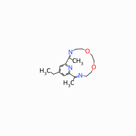 CCc1cc2nc(c1)/C(C)=N/CCOCCOCC/N=C/2C